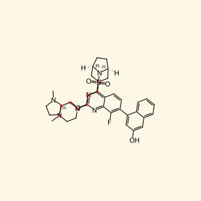 CN1CCN(CCCS(=O)(=O)N2[C@@H]3CC[C@H]2CN(c2nc(OC[C@@H]4CCCN4C)nc4c(F)c(-c5cc(O)cc6ccccc56)ccc24)C3)CC1